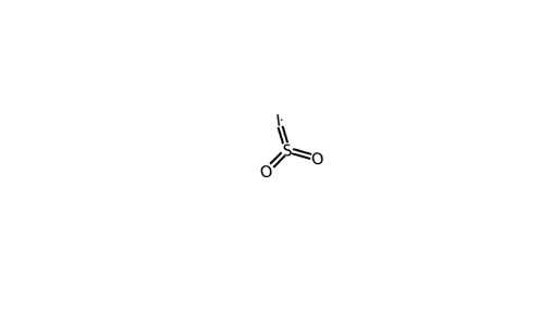 O=S(=O)=[I]